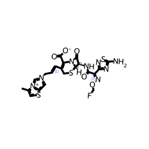 Cc1csc2cn(C/C=C/C3=C(C(=O)[O-])N4C(=O)[C@@H](NC(=O)/C(=N\OCF)c5nsc(N)n5)[C@H]4SC3)c[n+]12